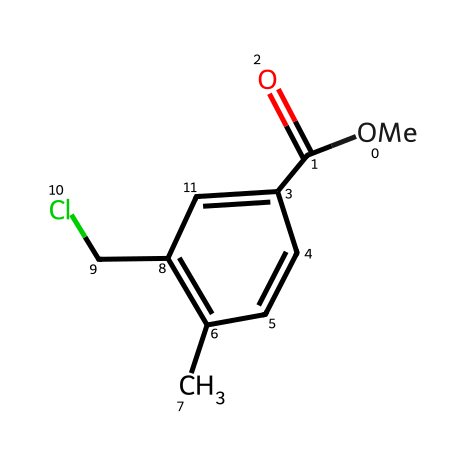 COC(=O)c1ccc(C)c(CCl)c1